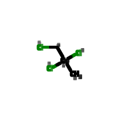 [CH3][Ge]([Cl])([Cl])[CH2]Cl